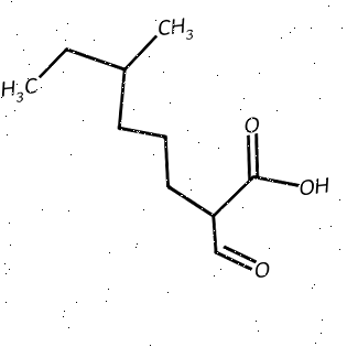 CCC(C)CCCC(C=O)C(=O)O